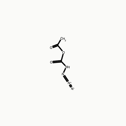 CC(=O)OC(=O)NN=[N+]=[N-]